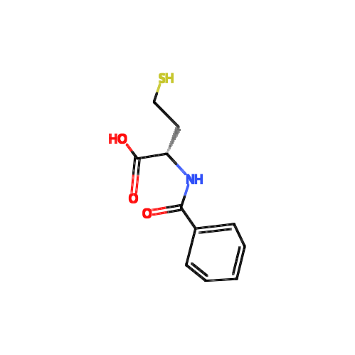 O=C(N[C@@H](CCS)C(=O)O)c1ccccc1